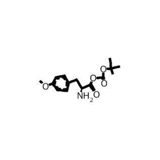 COc1ccc(C[C@H](N)C(=O)OC(=O)OC(C)(C)C)cc1